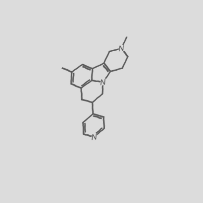 Cc1cc2c3c(c1)c1c(n3CC(c3ccncc3)C2)CCN(C)C1